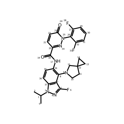 CC(C)n1nc(F)c2c(N3CCC4(CC4)C3)c(NC(=O)c3ccc(=O)n(-c4c(F)cccc4F)n3)ccc21